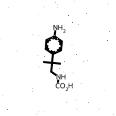 CC(C)(CNC(=O)O)c1ccc(N)cc1